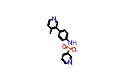 Cc1ccncc1-c1ccc(NS(=O)(=O)c2cccnc2)cc1